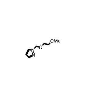 COCCOCn1cccn1